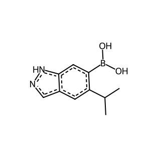 CC(C)c1cc2cn[nH]c2cc1B(O)O